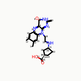 C=c1nc2c(c(=O)[nH]1)=Nc1cc(C)c(C)cc1N2CCN[C@H]1CC[C@@H](C(=O)O)C1